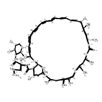 CNC[C@@](C)(C=O)NC(=O)[C@H]1[C@@H]2CC(O[C@@H]3OC[C@@H](O)[C@H](N)[C@@H]3O)/C=C/C=C/C=C/C=C/C=C/C=C/C=C/[C@H](C)[C@@H](O)C[C@H](C)OC(=O)CC(O)CC(O)CCC(O)C(O)CC(O)CC(O)(C[C@@H]1O)O2